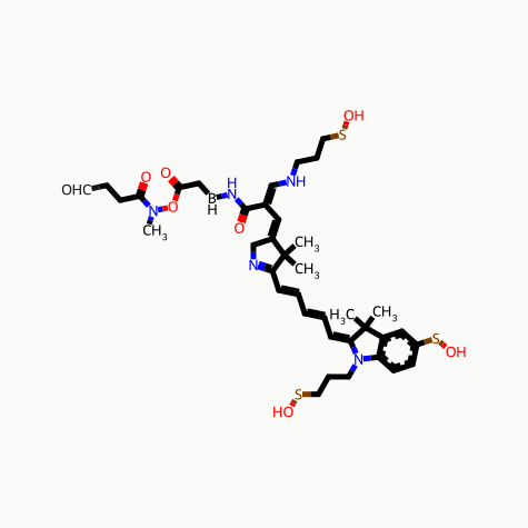 CN(OC(=O)CBNC(=O)C(/C=C1\CN=C(/C=C/C=C/C=C2/N(CCCSO)c3ccc(SO)cc3C2(C)C)C1(C)C)=C/NCCCSO)C(=O)CCC=O